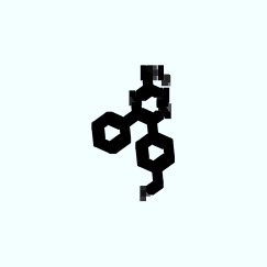 Nc1nnc(-c2ccc(CF)cc2)c(-c2ccccc2)n1